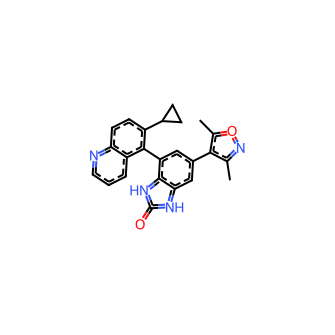 Cc1noc(C)c1-c1cc(-c2c(C3CC3)ccc3ncccc23)c2[nH]c(=O)[nH]c2c1